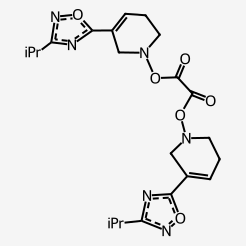 CC(C)c1noc(C2=CCCN(OC(=O)C(=O)ON3CCC=C(c4nc(C(C)C)no4)C3)C2)n1